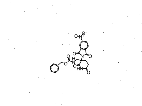 O=C1CCC(CNC(=O)OCc2ccccc2)(N2C(=O)c3ccc([N+](=O)[O-])cc3C2=O)C(=O)N1